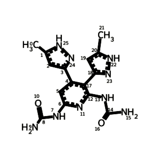 Cc1cc(-c2cc(NC(N)=O)nc(NC(N)=O)c2-c2cc(C)[nH]n2)n[nH]1